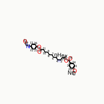 CCCCCC[C@H](C/C=C\CCCCCCCC(=O)Oc1ccc(N=C=O)cc1)OC(=O)c1ccc(OC#N)cc1